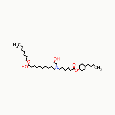 CCCCCCCOC(O)CCCCCCCCCN(CCO)CCCCCC(=O)OC1CCC(CCCC)CC1